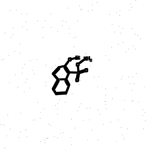 CCOc1ccc2ccccc2c1S(=O)(=O)ON